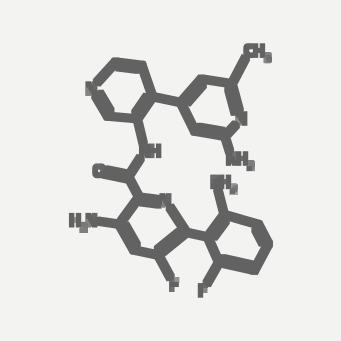 Bc1cccc(F)c1-c1nc(C(=O)Nc2cnccc2-c2cc(C)nc(N)c2)c(N)cc1F